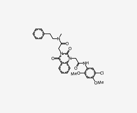 COc1cc(OC)c(NC(=O)Cn2c(=O)n(CC(=O)N(C)CCc3ccccc3)c(=O)c3ccccc32)cc1Cl